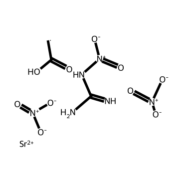 N=C(N)N[N+](=O)[O-].O=[N+]([O-])[O-].O=[N+]([O-])[O-].[CH2]C(=O)O.[Sr+2]